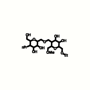 CCCC1C(CO)OC(COCC2C(COC)OC(COCC)C(O)C2O)C(O)C1O